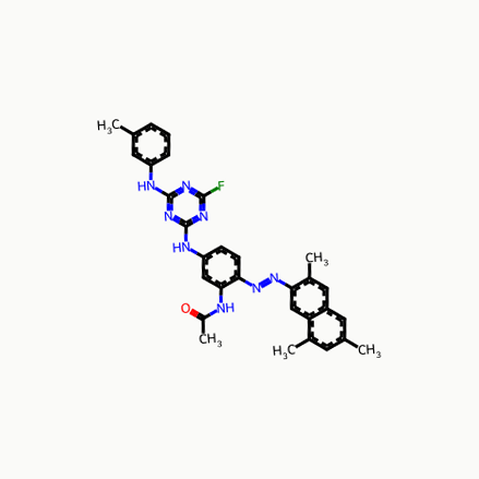 CC(=O)Nc1cc(Nc2nc(F)nc(Nc3cccc(C)c3)n2)ccc1N=Nc1cc2c(C)cc(C)cc2cc1C